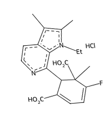 CCn1c(C)c(C)c2ccnc(C3C(C(=O)O)=CC=C(F)C3(C)C(=O)O)c21.Cl